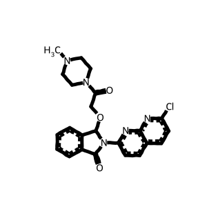 CN1CCN(C(=O)COC2c3ccccc3C(=O)N2c2ccc3ccc(Cl)nc3n2)CC1